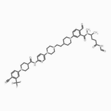 CC(CCC(=O)NC=O)N(C)C(=O)c1cc(N2CCC(CCN3CCN(c4ccc(NC(=O)C5CCN(c6ccc(C#N)c(C(F)(F)F)c6)CC5)nc4)CC3)CC2)ccc1C=O